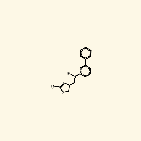 CCN(CC1COC(N)=N1)c1cccc(-c2ccccc2)c1